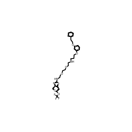 FC(F)(F)Oc1ccc2nc(NCCOCCOCCNCCCOc3cccc(OCCc4ccccc4)c3)sc2c1